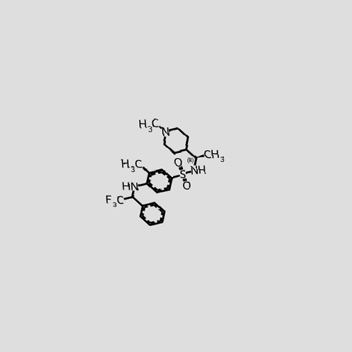 Cc1cc(S(=O)(=O)N[C@H](C)C2CCN(C)CC2)ccc1NC(c1ccccc1)C(F)(F)F